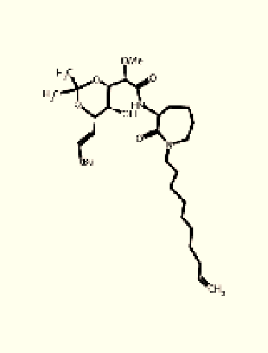 C=CCCCCCCCCN1CCCCC(NC(=O)[C@H](OC)[C@@H]2OC(C)(C)O[C@H](/C=C/C(C)(C)C)[C@@H]2O)C1=O